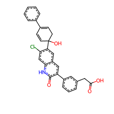 O=C(O)Cc1cccc(-c2cc3cc(C4(O)C=CC(c5ccccc5)=CC4)c(Cl)cc3[nH]c2=O)c1